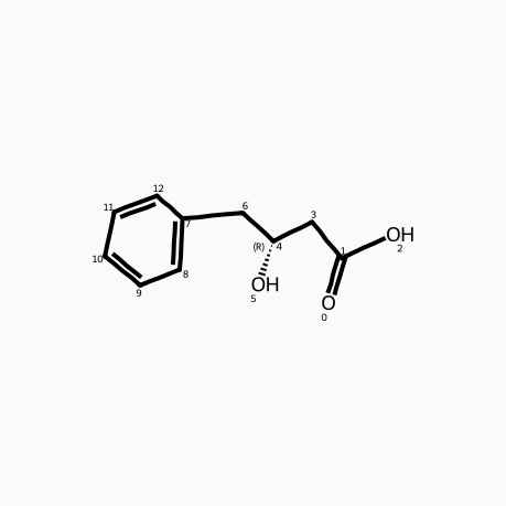 O=C(O)C[C@H](O)Cc1ccccc1